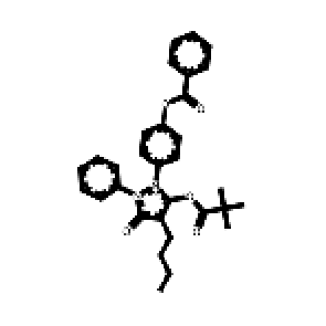 CCCCc1c(OC(=O)C(C)(C)C)n(-c2ccc(OC(=O)c3ccccc3)cc2)n(-c2ccccc2)c1=O